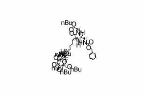 CCCCOC[C@H]1O[C@@](OCCCC)(C(F)(F)CNCCCC[C@H](NC(=O)[C@H](C)NC(=O)OCc2ccccc2)C(=O)N[C@@H](C)C(=O)OCCCC)[C@H](OCCCC)[C@@H](OCCCC)[C@H]1OCCCC